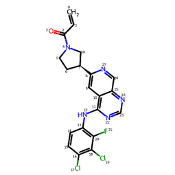 C=CC(=O)N1CC[C@H](c2cc3c(Nc4ccc(Cl)c(Cl)c4F)ncnc3cn2)C1